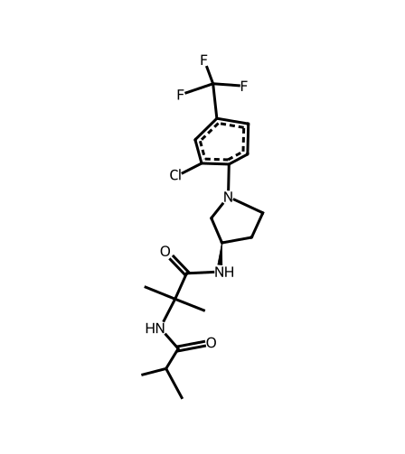 CC(C)C(=O)NC(C)(C)C(=O)N[C@@H]1CCN(c2ccc(C(F)(F)F)cc2Cl)C1